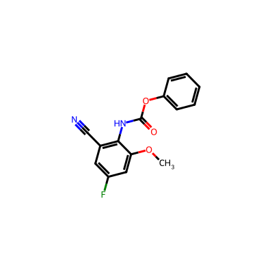 COc1cc(F)cc(C#N)c1NC(=O)Oc1ccccc1